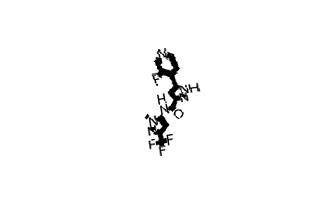 Cn1nc(C(F)(F)F)cc1NC(=O)c1cc(-c2ccncc2F)[nH]n1